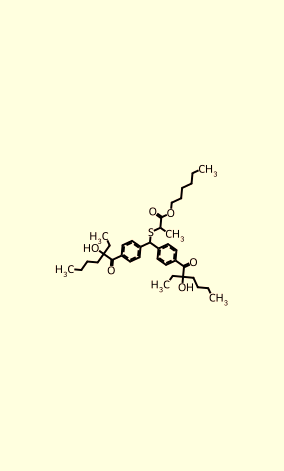 CCCCCCOC(=O)C(C)SC(c1ccc(C(=O)C(O)(CC)CCCC)cc1)c1ccc(C(=O)C(O)(CC)CCCC)cc1